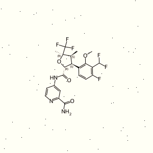 COc1c([C@H]2[C@H](C(=O)Nc3ccnc(C(N)=O)c3)O[C@@](C)(C(F)(F)F)[C@H]2C)ccc(F)c1C(F)F